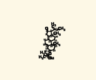 C=C[C@@H](C)C1C(=O)CC2C3CC=C4C[C@@H](O[Si](C)(C)C(C)(C)C)CC[C@]4(C)C3CC[C@@]21C